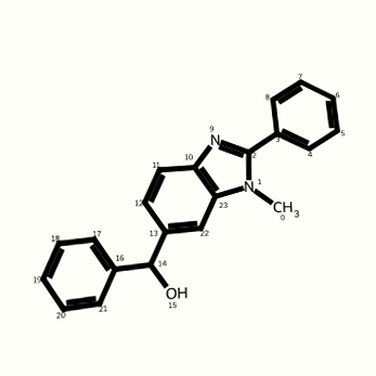 Cn1c(-c2ccccc2)nc2ccc(C(O)c3ccccc3)cc21